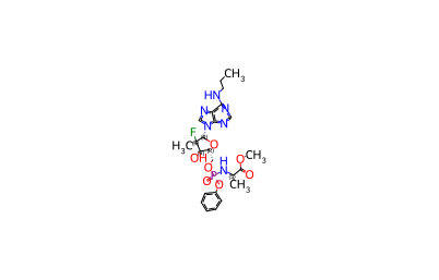 CCCNc1ncnc2c1ncn2[C@@H]1O[C@H](COP(=O)(N[C@@H](C)C(=O)OC)Oc2ccccc2)[C@@H](O)[C@@]1(C)F